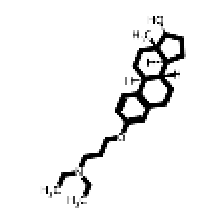 CCN(CC)CCCOc1ccc2c(c1)CC[C@@H]1[C@@H]2CC[C@]2(C)[C@H](O)CC[C@@H]12